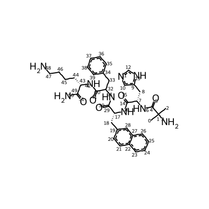 CC(C)(N)C(=O)N[C@@H](Cc1cnc[nH]1)C(=O)N[C@H](Cc1ccc2ccccc2c1)C(=O)NC(Cc1ccccc1)C(=O)N[C@@H](CCCCN)C(N)=O